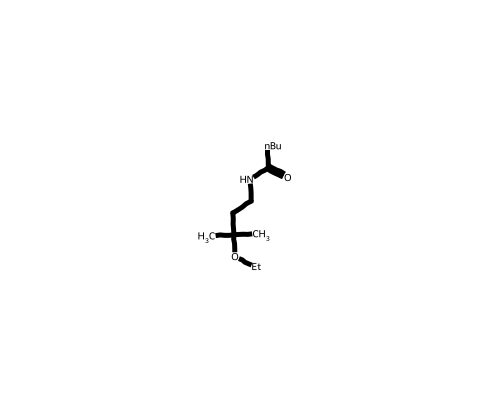 CCCCC(=O)NCCC(C)(C)OCC